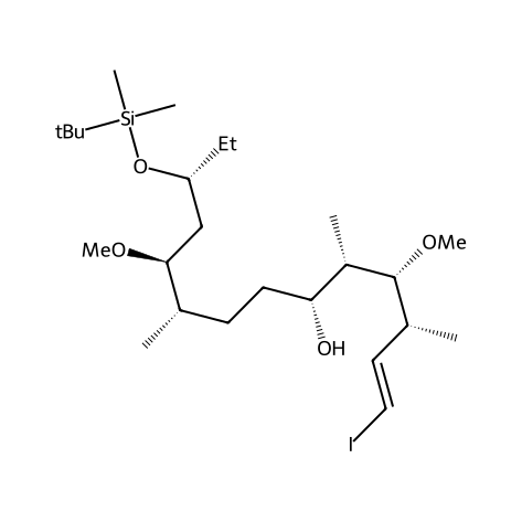 CC[C@H](C[C@H](OC)[C@@H](C)CC[C@@H](O)[C@H](C)[C@H](OC)[C@H](C)/C=C/I)O[Si](C)(C)C(C)(C)C